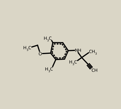 C#CC(C)(C)Nc1cc(C)c(OCC)c(C)c1